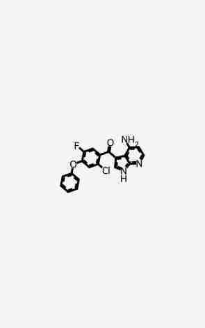 Nc1ccnc2[nH]cc(C(=O)c3cc(F)c(Oc4ccccc4)cc3Cl)c12